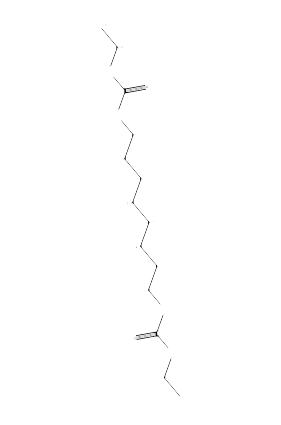 CCOC(=O)OCCCCCCCCOC(=O)OCC